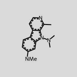 CNc1ccc2c3ccnc(C)c3n(N(C)C)c2c1